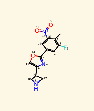 Cc1c(F)cc(-c2nc(C3CNC3)co2)cc1[N+](=O)[O-]